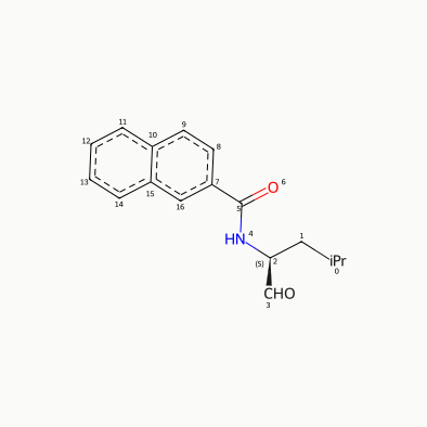 CC(C)C[C@@H](C=O)NC(=O)c1ccc2ccccc2c1